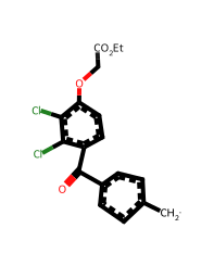 [CH2]c1ccc(C(=O)c2ccc(OCC(=O)OCC)c(Cl)c2Cl)cc1